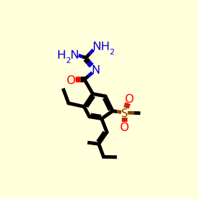 CC/C(C)=C/c1cc(CC)c(C(=O)N=C(N)N)cc1S(C)(=O)=O